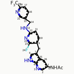 CC(=O)Nc1cnc2[nH]cc(Cc3ccc(NCc4ccc(C(F)(F)F)nc4)nc3F)c2c1